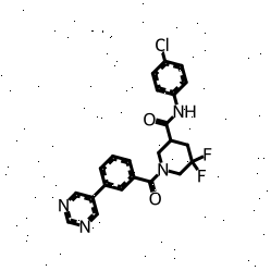 O=C(Nc1ccc(Cl)cc1)C1CN(C(=O)c2cccc(-c3cncnc3)c2)CC(F)(F)C1